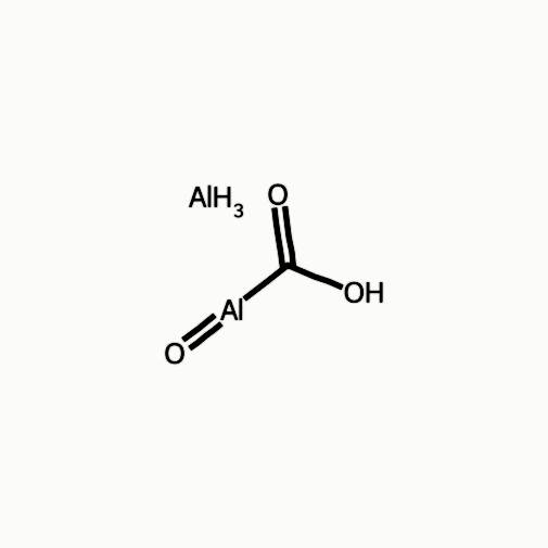 [AlH3].[O]=[Al][C](=O)O